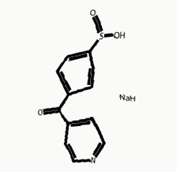 O=C(c1ccncc1)c1ccc(S(=O)O)cc1.[NaH]